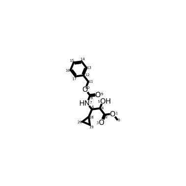 COC(=O)C(O)C(NC(=O)OCc1ccccc1)C1CC1